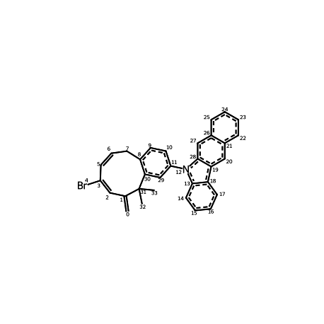 C=C1/C=C(Br)\C=C/Cc2ccc(-n3c4ccccc4c4cc5ccccc5cc43)cc2C1(C)C